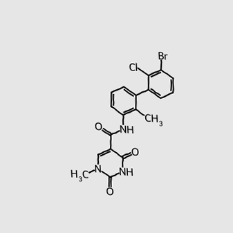 Cc1c(NC(=O)c2cn(C)c(=O)[nH]c2=O)cccc1-c1cccc(Br)c1Cl